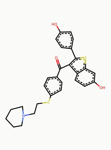 O=C(c1ccc(SCCN2CCCCC2)cc1)c1c(-c2ccc(O)cc2)sc2cc(O)ccc12